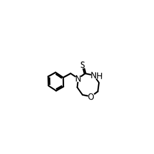 S=C1NCCOCCN1Cc1ccccc1